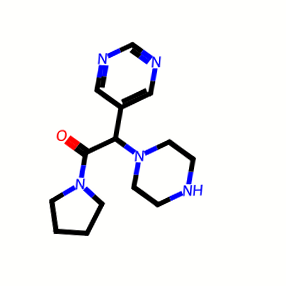 O=C(C(c1cncnc1)N1CCNCC1)N1CCCC1